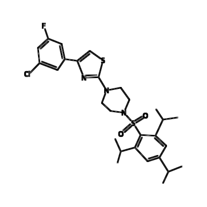 CC(C)c1cc(C(C)C)c(S(=O)(=O)N2CCN(c3nc(-c4cc(F)cc(Cl)c4)cs3)CC2)c(C(C)C)c1